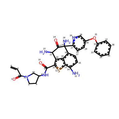 C=CC(=O)N1CCC(NC(=O)c2sc3c(N)ccc4c3c2C(N)C(=O)C4(N)c2ccc(Oc3ccccc3)cn2)C1